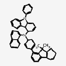 CC1(C)C2=C(C=CCC2)c2cccc(C3=CCC(N(c4cccc5ccccc45)C4C=CC=C5C4c4ccccc4N5c4ccccc4)C=C3)c21